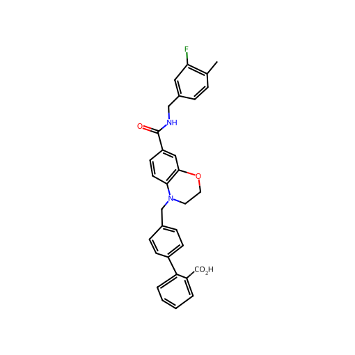 Cc1ccc(CNC(=O)c2ccc3c(c2)OCCN3Cc2ccc(-c3ccccc3C(=O)O)cc2)cc1F